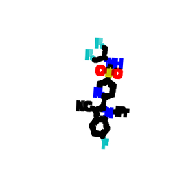 CC(C)n1c(-c2ccc(S(=O)(=O)NC(CF)CF)cn2)c(C#N)c2ccc(F)cc21